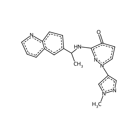 CC(Nc1nn(-c2cnn(C)c2)ccc1=O)c1ccc2ncccc2c1